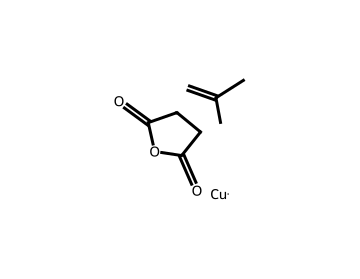 C=C(C)C.O=C1CCC(=O)O1.[Cu]